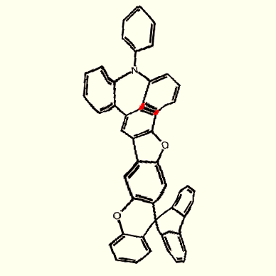 c1ccc(N(c2ccccc2)c2ccccc2-c2ccc3oc4cc5c(cc4c3c2)Oc2ccccc2C52c3ccccc3-c3ccccc32)cc1